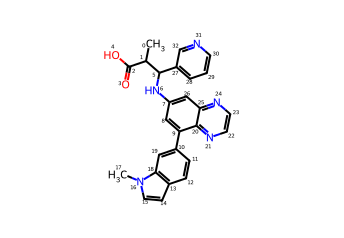 CC(C(=O)O)C(Nc1cc(-c2ccc3ccn(C)c3c2)c2nccnc2c1)c1cccnc1